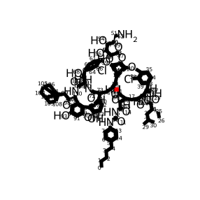 CCCCCc1ccc(NC(=O)NC(=O)C[C@@H]2CC(=O)[C@H](NC(=O)[C@H](CC)CC(C)C)[C@H](O)c3ccc(c(Cl)c3)Oc3cc4cc(c3O[C@@H]3O[C@H](CN)[C@@H](O)[C@H](O)[C@H]3O)Oc3ccc(cc3Cl)[C@@H](O)[C@@H]3NC(=O)[C@H](CC(=O)[C@@H]4NC2=O)c2ccc(O)c(c2)-c2c(O)cc(O)cc2[C@@H](C(=O)CC2C4CC5CC(C4)CC2C5)NC3=O)cc1